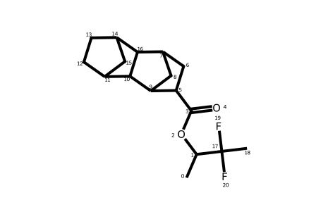 CC(OC(=O)C1CC2CC1C1C3CCC(C3)C21)C(C)(F)F